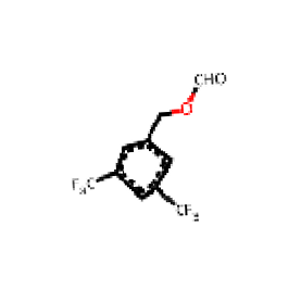 O=COCc1cc(C(F)(F)F)cc(C(F)(F)F)c1